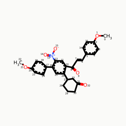 COc1ccc(C=CC(=O)c2cc([N+](=O)[O-])c(-c3ccc(OC)cc3)cc2C2CCCC(=O)C2)cc1